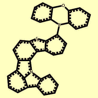 c1ccc2c(c1)Oc1ccccc1B2c1cccc2c1sc1ccc3c4cccc5c6ccccc6n(c54)c3c12